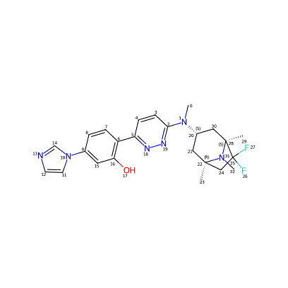 CN(c1ccc(-c2ccc(-n3ccnc3)cc2O)nn1)[C@H]1C[C@]2(C)CC(F)(F)[C@](C)(C1)N2C